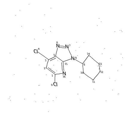 Clc1cc(Cl)c2nnn(C3CCCCC3)c2n1